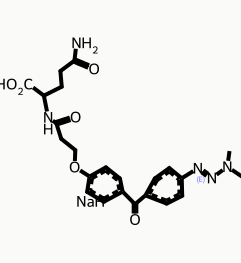 CN(C)/N=N/c1ccc(C(=O)c2ccc(OCCC(=O)NC(CCC(N)=O)C(=O)O)cc2)cc1.[NaH]